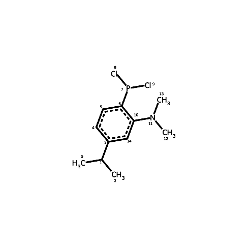 CC(C)c1ccc(P(Cl)Cl)c(N(C)C)c1